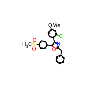 COc1ccc(-c2nc(Cc3ccccc3)oc2-c2ccc(S(C)(=O)=O)cc2)c(Cl)c1